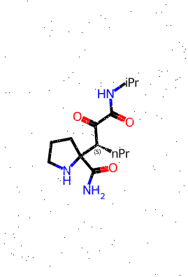 CCC[C@H](C(=O)C(=O)NC(C)C)C1(C(N)=O)CCCN1